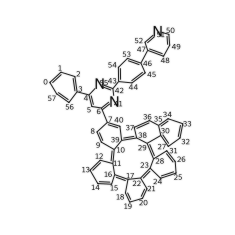 c1ccc(-c2cc(-c3ccc4c5ccccc5c5ccccc5c5ccccc5c5c6ccccc6ccc5c4c3)nc(-c3ccc(-c4cccnc4)cc3)n2)cc1